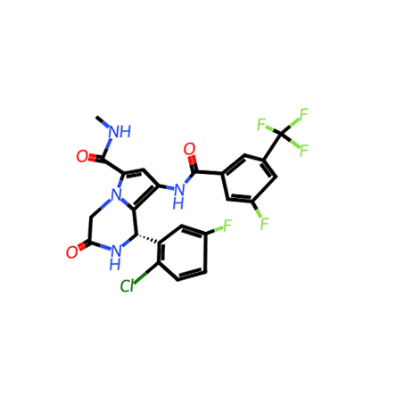 CNC(=O)c1cc(NC(=O)c2cc(F)cc(C(F)(F)F)c2)c2n1CC(=O)N[C@H]2c1cc(F)ccc1Cl